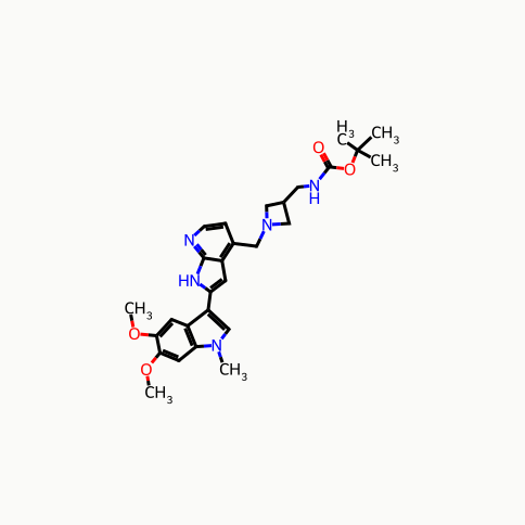 COc1cc2c(-c3cc4c(CN5CC(CNC(=O)OC(C)(C)C)C5)ccnc4[nH]3)cn(C)c2cc1OC